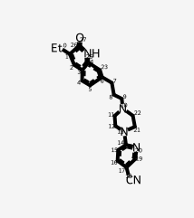 CCc1cc2ccc(CCCN3CCN(c4ccc(C#N)cn4)CC3)cc2[nH]c1=O